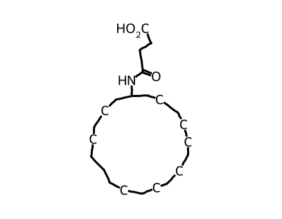 O=C(O)CCC(=O)NC1CCCCCCCCCCCCCCCCCC1